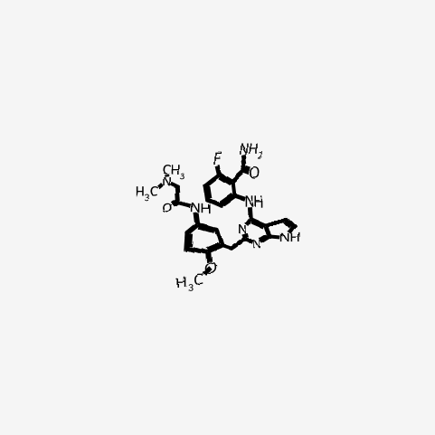 COc1ccc(NC(=O)CN(C)C)cc1Cc1nc(Nc2cccc(F)c2C(N)=O)c2cc[nH]c2n1